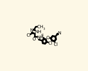 CCc1nc(Cl)c(C(=O)NCc2ccc(Cl)c(Oc3cc(Cl)cc(C#N)c3)c2F)[nH]1